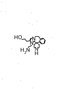 NCCN1C(CCCO)=CN2CCc3ccccc3C3(CCNCC3)C21